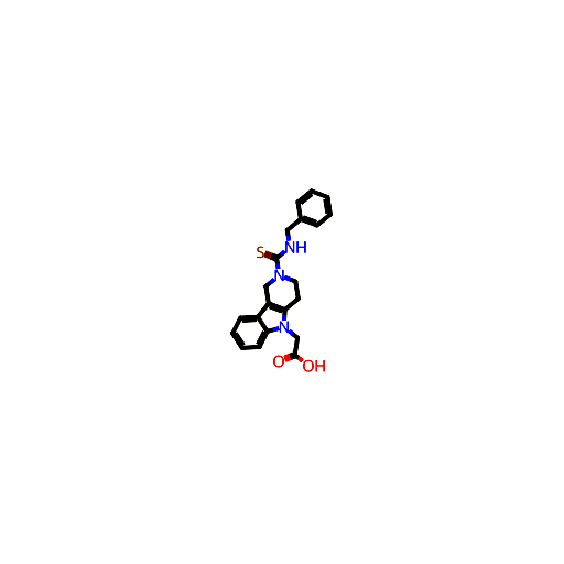 O=C(O)Cn1c2c(c3ccccc31)CN(C(=S)NCc1ccccc1)CC2